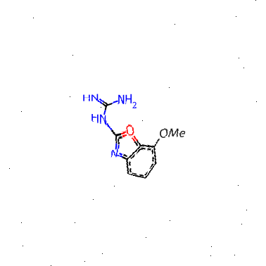 COc1cccc2nc(NC(=N)N)oc12